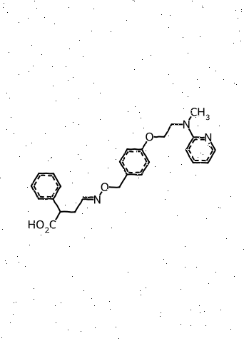 CN(CCOc1ccc(CO/N=C/CC(C(=O)O)c2ccccc2)cc1)c1ccccn1